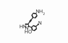 N#Cc1ccc(O)c(-c2n[nH]cc2C#Cc2ccc(N)cc2)c1